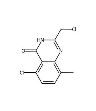 Cc1ccc(Cl)c2c(=O)[nH]c(CCl)nc12